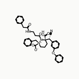 N#C[C@H](c1cccc(Oc2ccccc2)c1)[C@]1(C(=O)O)CCC[N+](Cc2ccccc2)(C(=O)[O-])N1C(=O)CCNC(=O)Cc1ccccc1